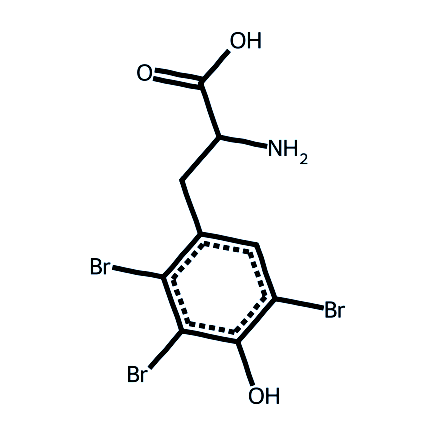 NC(Cc1cc(Br)c(O)c(Br)c1Br)C(=O)O